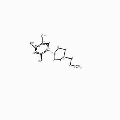 CCC[C@H]1CC[C@H](c2cc(F)c(F)nc2F)CC1